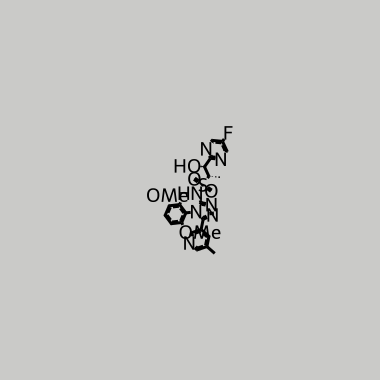 COc1cccc(OC)c1-n1c(NS(=O)(=O)[C@@H](C)[C@H](O)c2ncc(F)cn2)nnc1-c1cncc(C)c1